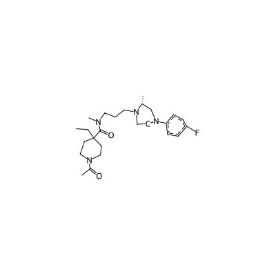 CCC1(C(=O)N(C)CCCN2CCN(c3ccc(F)cc3)C[C@H]2C)CCN(C(C)=O)CC1